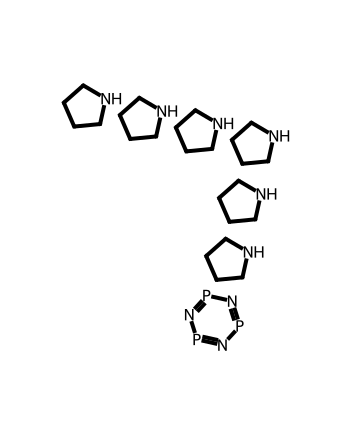 C1CCNC1.C1CCNC1.C1CCNC1.C1CCNC1.C1CCNC1.C1CCNC1.n1pnpnp1